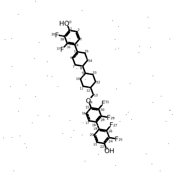 Oc1ccc(C2=CCC(C3CCC(COc4ccc(-c5ccc(O)c(F)c5F)c(F)c4F)CC3)CC2)c(F)c1F